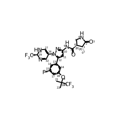 C[C@H]1C(=O)NC[C@@H]1C(=O)Nc1cc(-c2cc(F)cc(OC(C)(C)C(F)(F)F)c2)n(C2=CNC(C(F)(F)F)N=C2)n1